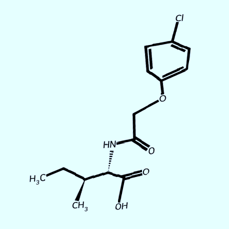 CC[C@H](C)[C@H](NC(=O)COc1ccc(Cl)cc1)C(=O)O